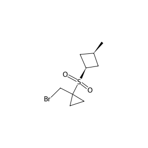 C[C@H]1C[C@@H](S(=O)(=O)C2(CBr)CC2)C1